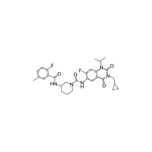 Cc1ccc(F)c(C(=O)NC2CCCN(C(=O)Nc3cc4c(=O)n(CC5CC5)c(=O)n(C(C)C)c4cc3F)C2)c1